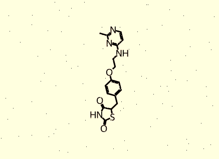 Cc1nccc(NCCOc2ccc(CC3SC(=O)NC3=O)cc2)n1